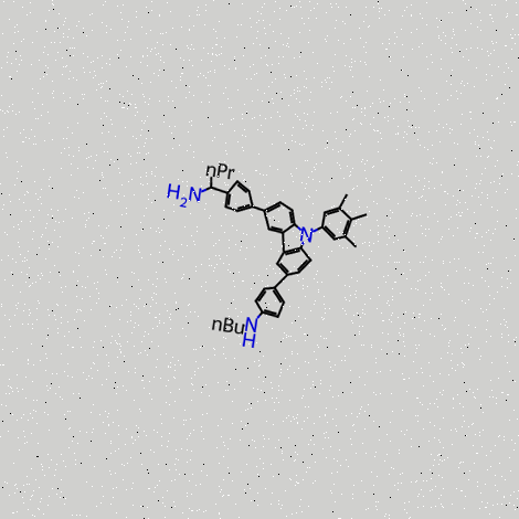 CCCCNc1ccc(-c2ccc3c(c2)c2cc(-c4ccc(C(N)CCC)cc4)ccc2n3-c2cc(C)c(C)c(C)c2)cc1